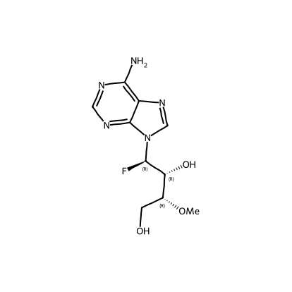 CO[C@H](CO)[C@@H](O)[C@@H](F)n1cnc2c(N)ncnc21